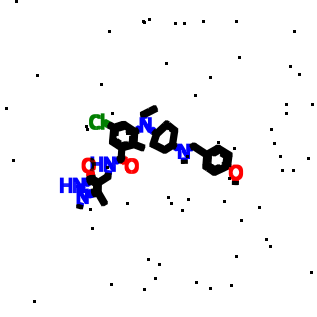 CCN(c1cc(Cl)cc(C(=O)NCc2c(C)n(C)[nH]c2=O)c1C)C1CCC(N(C)Cc2ccc(OC)cc2)CC1